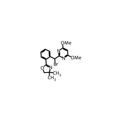 COc1cc(OC)nc(C(Br)c2ccccc2C2=NC(C)(C)CO2)n1